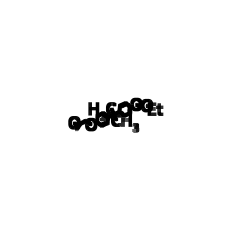 CCOCOC1=CCC(C(C)(C)C2=CCC(OCC3CO3)C=C2)C=C1